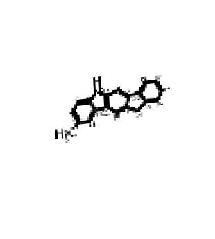 Cc1ccc2[nH]c3cc4c(cc3c2c1)Cc1ccccc1-4